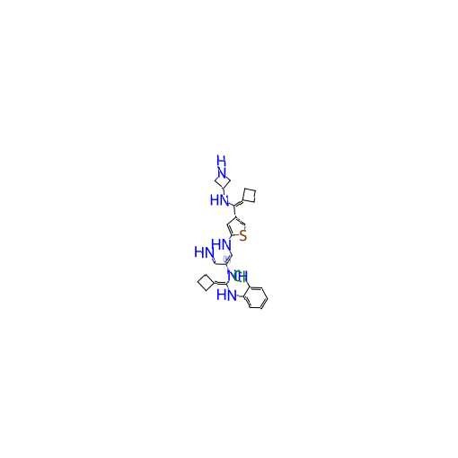 N=C/C(=C\Nc1cc(C(NC2CNC2)=C2CCC2)cs1)NC(Nc1ccccc1Cl)=C1CCC1